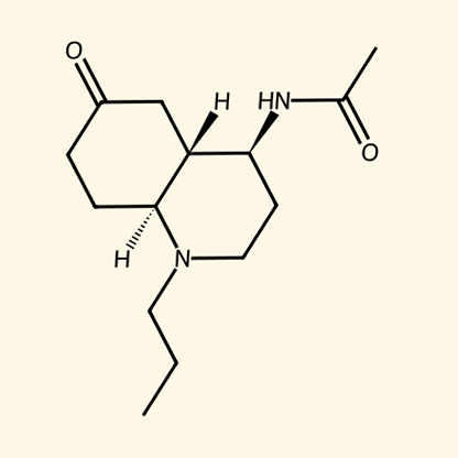 CCCN1CC[C@H](NC(C)=O)[C@H]2CC(=O)CC[C@@H]21